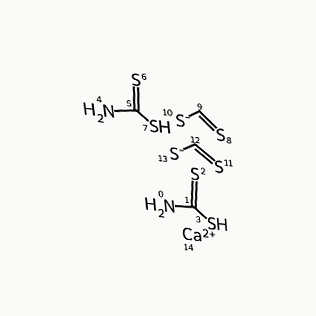 NC(=S)S.NC(=S)S.S=C[S-].S=C[S-].[Ca+2]